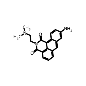 CN(C)CCN1C(=O)c2cccc3cc4cc(N)ccc4c(c23)C1=O